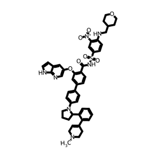 CN1CC=C(c2ccccc2C2CCCN2c2ccc(-c3ccc(C(=O)NS(=O)(=O)c4ccc(NCC5CCOCC5)c([N+](=O)[O-])c4)c(Oc4cnc5[nH]ccc5c4)c3)cc2)CC1